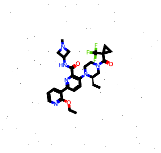 CCOc1ncccc1-c1ccc(N2CCN(C(=O)C3(C(F)(F)F)CC3)C[C@H]2CC)c(C(=O)NC2CN(C)C2)n1